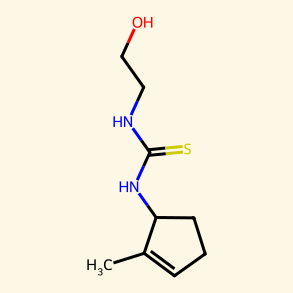 CC1=CCCC1NC(=S)NCCO